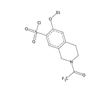 CCOc1cc2c(cc1S(=O)(=O)Cl)CN(C(=O)C(F)(F)F)CC2